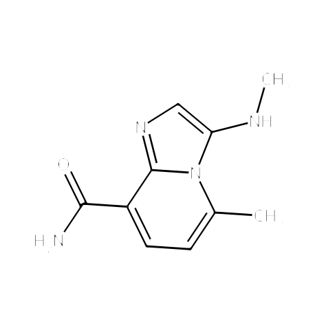 CNc1cnc2c(C(N)=O)ccc(C)n12